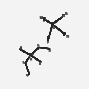 CC[P+](C)(C)CC.F[B-](F)(F)F